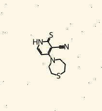 N#Cc1c(N2CCCSCC2)cc[nH]c1=S